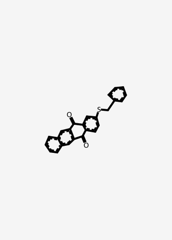 O=C1c2ccc(SCc3ccccc3)cc2C(=O)c2cc3ccccc3cc21